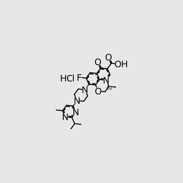 Cc1cc(N2CCN(c3c(F)cc4c(=O)c(C(=O)O)cn5c4c3OC[C@@H]5C)CC2)nc(C(C)C)n1.Cl